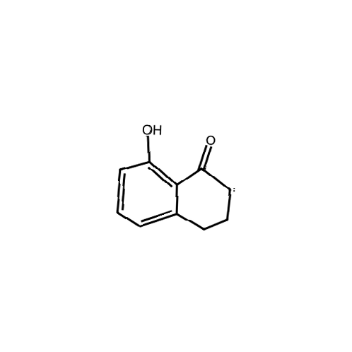 O=C1[C]CCc2cccc(O)c21